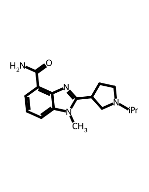 CC(C)N1CCC(c2nc3c(C(N)=O)cccc3n2C)C1